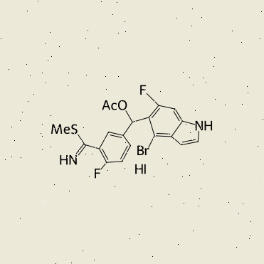 CSC(=N)c1cc(C(OC(C)=O)c2c(F)cc3[nH]ccc3c2Br)ccc1F.I